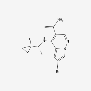 C[C@@H](Nc1c(C(N)=O)cnn2cc(Br)cc12)C1(F)CC1